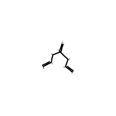 [CH]=C(CC=C)CC=C